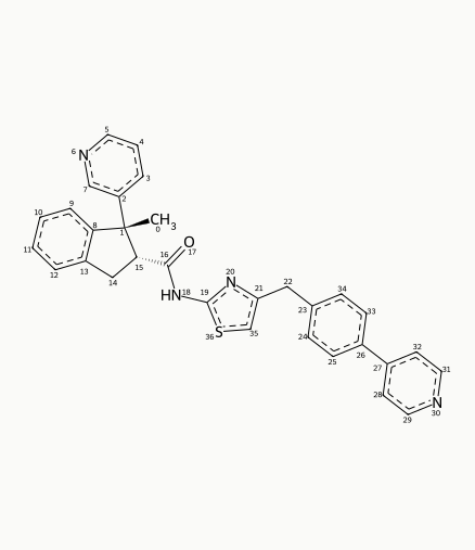 C[C@]1(c2cccnc2)c2ccccc2C[C@H]1C(=O)Nc1nc(Cc2ccc(-c3ccncc3)cc2)cs1